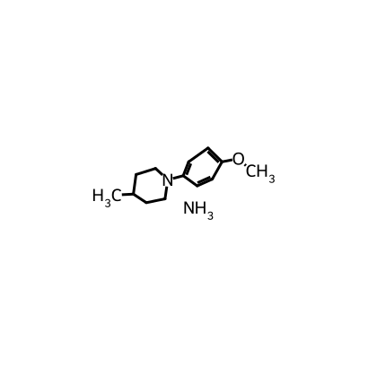 COc1ccc(N2CCC(C)CC2)cc1.N